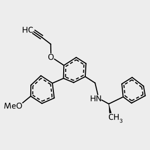 C#CCOc1ccc(CN[C@H](C)c2ccccc2)cc1-c1ccc(OC)cc1